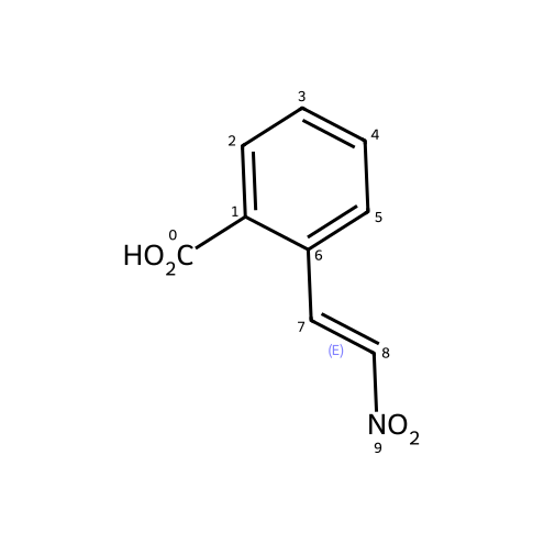 O=C(O)c1ccccc1/C=C/[N+](=O)[O-]